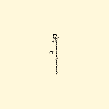 CCCCCCCCCCCCCCCCCCNC[n+]1ccccc1.[Cl-]